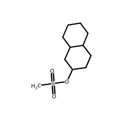 CS(=O)(=O)OC1CCC2CCCCC2C1